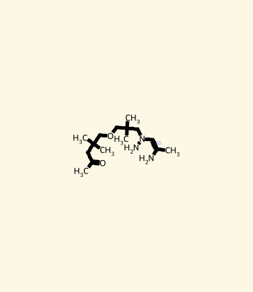 CC(=O)CC(C)(C)COCC(C)(C)CN(N)/C=C(/C)N